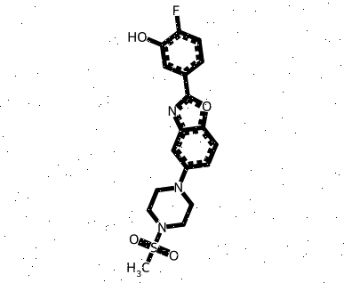 CS(=O)(=O)N1CCN(c2ccc3oc(-c4ccc(F)c(O)c4)nc3c2)CC1